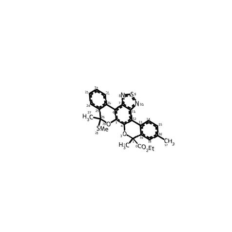 CCOC(=O)C1(C)Oc2c3c(c4nsnc4c2-c2ccc(C)cc21)-c1ccccc1C(C)(SC)O3